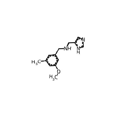 COc1cc(C)cc(CNCc2cnc[nH]2)c1